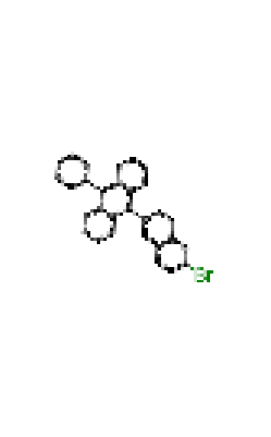 Brc1ccc2cc(-c3c4ccccc4c(-c4ccccc4)c4ccccc34)ccc2c1